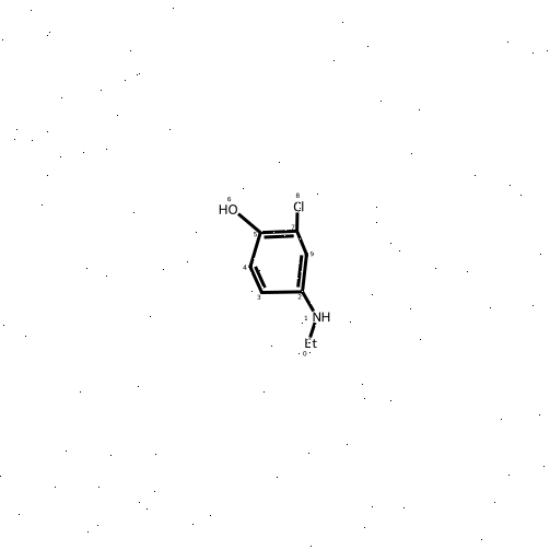 CCNc1ccc(O)c(Cl)c1